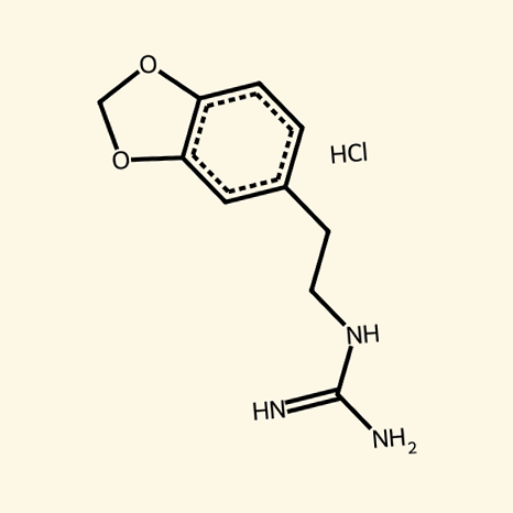 Cl.N=C(N)NCCc1ccc2c(c1)OCO2